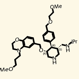 COCCCN1CCOc2ccc(CO[C@H]3CNC[C@@H](CNC(C)C)[C@@H]3c3ccc(COCCOC)cc3)cc21